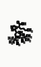 CCCCC(C(=O)O)n1cnnc1[C@H](COC(C)(C)C)NC(=O)OC(C)(C)C